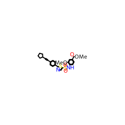 COC(=O)c1ccc(NS(=O)(=O)c2cnc(-c3ccc(C#CC4CCCC4)cc3)s2)c(OC)c1